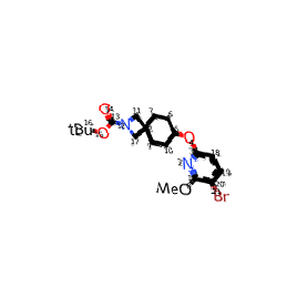 COc1nc(OC2CCC3(CC2)CN(C(=O)OC(C)(C)C)C3)ccc1Br